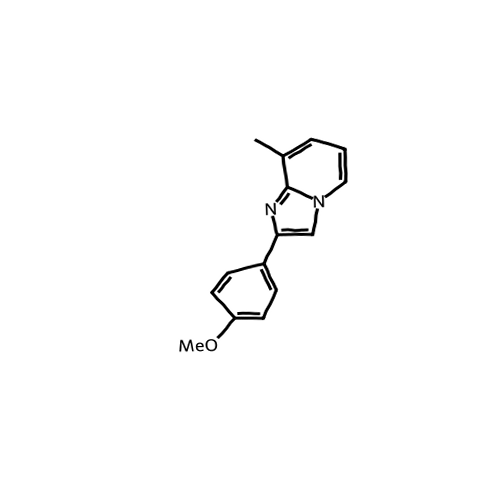 COc1ccc(-c2cn3cccc(C)c3n2)cc1